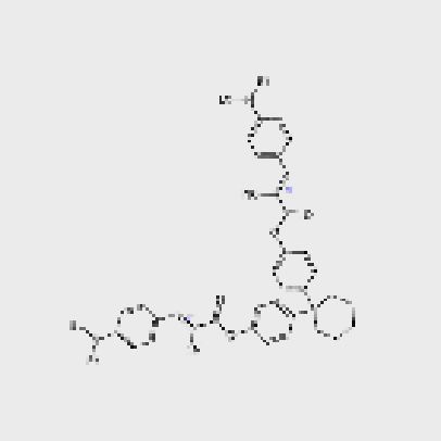 CCN(CC)c1ccc(/C=C(\C#N)C(=O)Oc2ccc(C3(c4ccc(OC(=O)/C(C#N)=C/c5ccc(N(CC)CC)cc5)cc4)CCCCC3)cc2)cc1